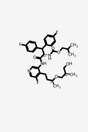 CC(C)COC(=O)N[C@H](C(=O)Nc1cncc(F)c1CC[C@H](C)OC[C@H](C)CO)C(c1ccc(F)cc1)c1ccc(F)cc1